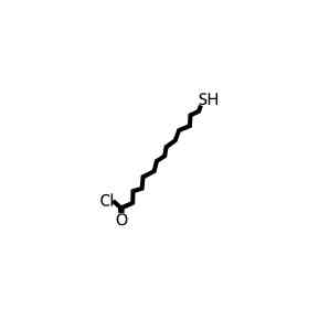 O=C(Cl)CCCCCCCCCCCCCS